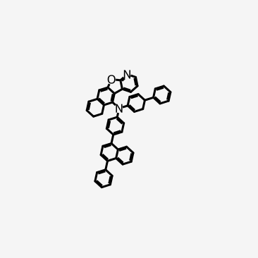 C1=Cc2cc3oc4ncccc4c3c(N(C3=CCC(c4ccccc4)C=C3)c3ccc(-c4ccc(-c5ccccc5)c5ccccc45)cc3)c2CC1